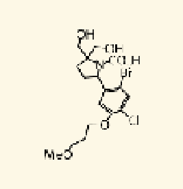 COCCCOc1cc(C2CCC(CO)(CO)N2C(=O)O)c(Br)cc1Cl